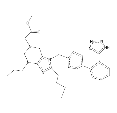 CCCCc1nc2c(n1Cc1ccc(-c3ccccc3-c3nnn[nH]3)cc1)CN(CC(=O)OC)CN2CCC